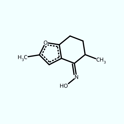 Cc1cc2c(o1)CCC(C)/C2=N/O